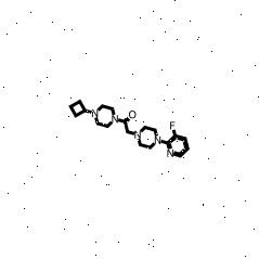 O=C(CN1CCN(c2ncccc2F)CC1)N1CCN(C2CCC2)CC1